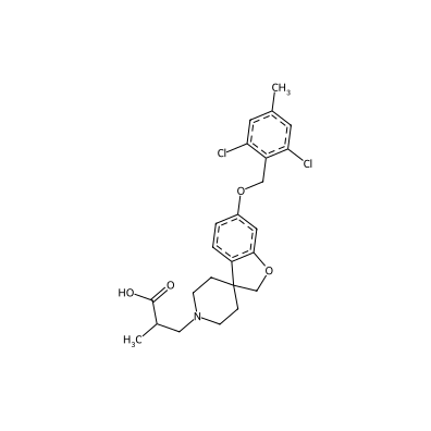 Cc1cc(Cl)c(COc2ccc3c(c2)OCC32CCN(CC(C)C(=O)O)CC2)c(Cl)c1